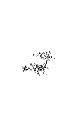 CCCC[Si](C)(C)O[Si](C)(C)CCCOC(=O)C(C)(C)CC(C)(C)C(CC)C(=O)OCCCC(F)(F)F